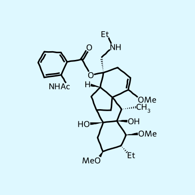 CCNC[C@]1(OC(=O)c2ccccc2NC(C)=O)CC=C(OC)C23CC(C[C@@H]21)[C@@]1(O)C[C@H](OC)[C@@H](CC)[C@H](OC)[C@@]1(O)[C@H]3C